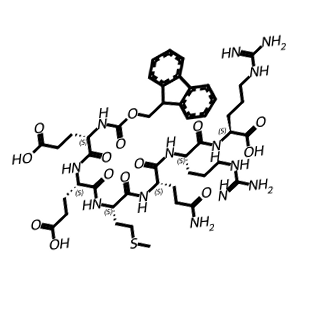 CSCC[C@H](NC(=O)[C@H](CCC(=O)O)NC(=O)[C@H](CCC(=O)O)NC(=O)OCC1c2ccccc2-c2ccccc21)C(=O)N[C@@H](CCC(N)=O)C(=O)N[C@@H](CCCNC(=N)N)C(=O)N[C@@H](CCCNC(=N)N)C(=O)O